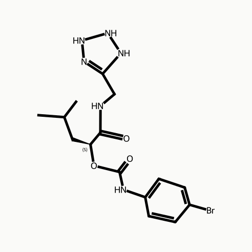 CC(C)C[C@H](OC(=O)Nc1ccc(Br)cc1)C(=O)NCC1=NNNN1